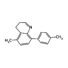 Cc1ccc(-c2ccc(C)c3c2N=CCC3)cc1